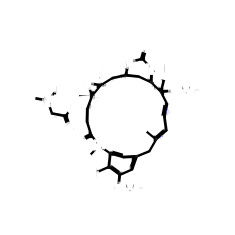 COc1cc2cc(c1Cl)N(C)C(=O)C[C@H](OC(=O)[C@H](C)N(C)I)[C@]1(C)O[C@H]1[C@H](C)[C@@H]1C[C@@]3(CC3(OC)/C=C/C=C(\C)C2)NC(=O)O1